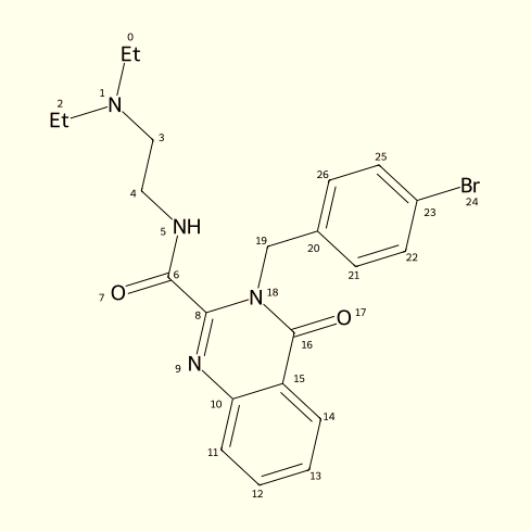 CCN(CC)CCNC(=O)c1nc2ccccc2c(=O)n1Cc1ccc(Br)cc1